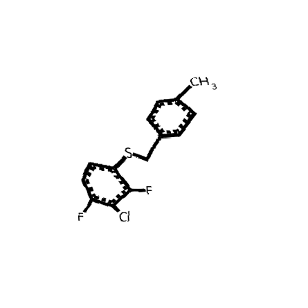 Cc1ccc(CSc2ccc(F)c(Cl)c2F)cc1